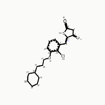 O=C1CC(=O)/C(=C/c2cccc(OCCCC3CCCCC3)c2Cl)S1